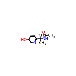 CC(=O)NC(C)(C)C1=NCC(O)C=C1